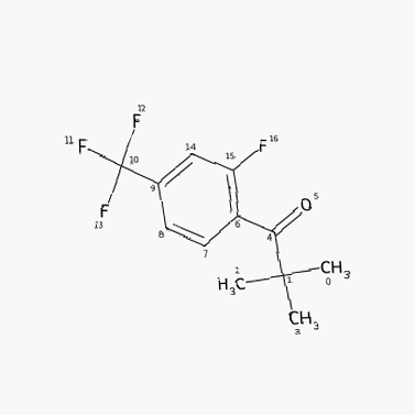 CC(C)(C)C(=O)c1ccc(C(F)(F)F)cc1F